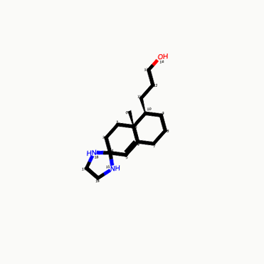 C[C@]12CCC3(C=C1CCC[C@@H]2CCCO)NCCN3